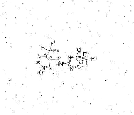 [O-][n+]1ccc(C(F)(F)F)c(CNc2ncc(C(F)(F)F)c(Cl)n2)c1